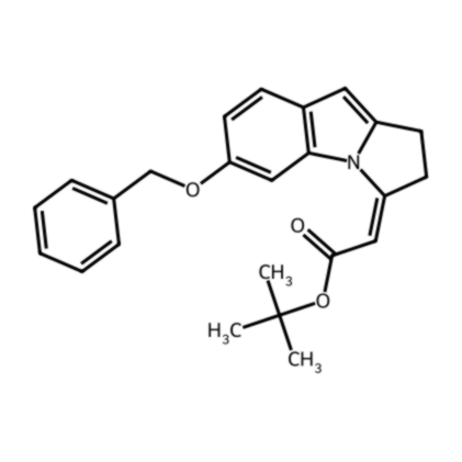 CC(C)(C)OC(=O)C=C1CCc2cc3ccc(OCc4ccccc4)cc3n21